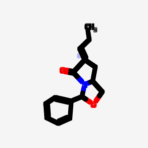 CC/C=C1\CC2COC(c3ccccc3)N2C1=O